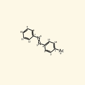 CC(=O)c1ccc(N=Nc2ccccc2)cc1